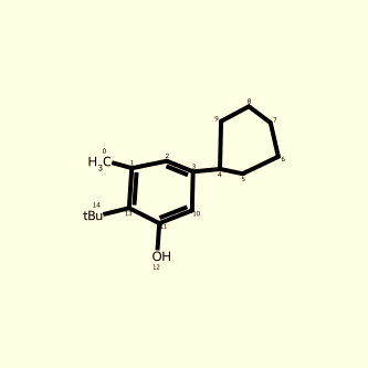 Cc1cc(C2CCCCC2)cc(O)c1C(C)(C)C